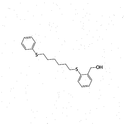 OCc1ccccc1SCCCCCCSc1ccccc1